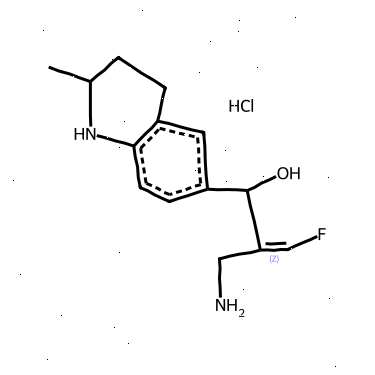 CC1CCc2cc(C(O)/C(=C\F)CN)ccc2N1.Cl